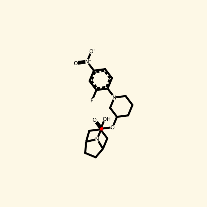 O=C(OC1CCCN(c2ccc([N+](=O)[O-])cc2F)C1)N1C2CCC1CC(O)C2